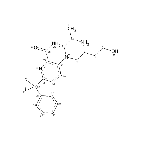 CC(N)CN(CCCCO)c1ncc(C2(c3ccccc3)CC2)nc1C(N)=O